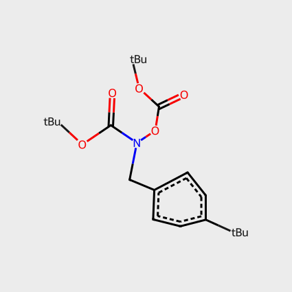 CC(C)(C)OC(=O)ON(Cc1ccc(C(C)(C)C)cc1)C(=O)OC(C)(C)C